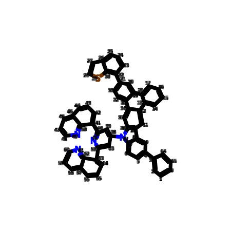 c1ccc(-c2ccc3c(c2)c2cc4c5ccccc5c5cc(-c6cccc7ccsc67)ccc5c4cc2n3-c2cc(-c3cccc4cccnc34)nc(-c3cccc4cccnc34)c2)cc1